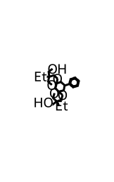 CCC1(CO)COC2(CC(c3ccccc3)CC3(C2)OCC(CC)(CO)CO3)OC1